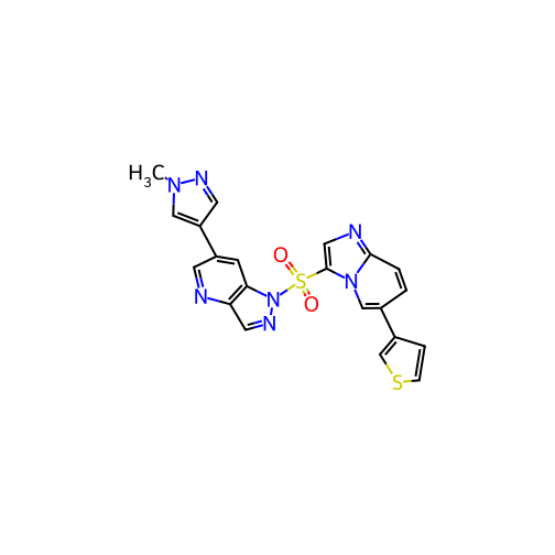 Cn1cc(-c2cnc3cnn(S(=O)(=O)c4cnc5ccc(-c6ccsc6)cn45)c3c2)cn1